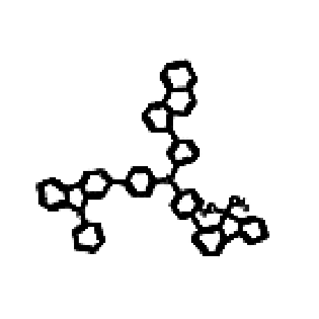 CC1(C)c2ccccc2-c2cccc(-c3ccc(N(c4ccc(-c5ccc6c7ccccc7n(-c7ccccc7)c6c5)cc4)c4cccc(-c5cccc6c5ccc5ccccc56)c4)cc3)c21